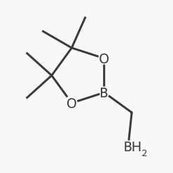 BCB1OC(C)(C)C(C)(C)O1